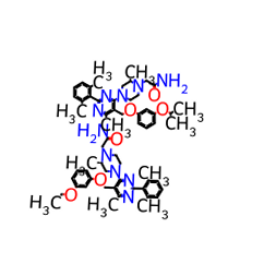 CCOc1cccc(OCc2c(C)nc(-c3c(C)cccc3C)nc2N2CCN(CC(N)=O)[C@H](C)C2)c1.Cc1cccc(C)c1-c1nc(C)c(COc2cccc(OC(C)C)c2)c(N2CCN(CC(N)=O)[C@H](C)C2)n1